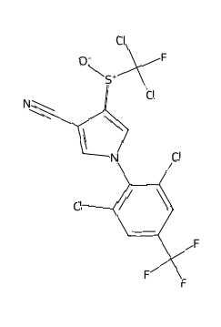 N#Cc1cn(-c2c(Cl)cc(C(F)(F)F)cc2Cl)cc1[S+]([O-])C(F)(Cl)Cl